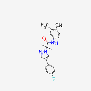 CC(C)(C(=O)Nc1ccc(C#N)c(C(F)(F)F)c1)n1cc(-c2ccc(F)cc2)cn1